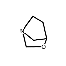 C1CN2COC1C2